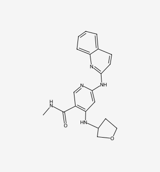 CNC(=O)c1cnc(Nc2ccc3ccccc3n2)cc1NC1CCOC1